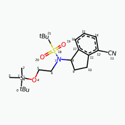 CC(C)(C)[Si](C)(C)OCCN(C1CCc2c(C#N)cccc21)S(=O)(=O)C(C)(C)C